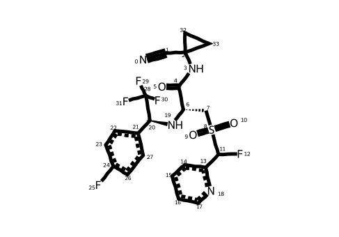 N#CC1(NC(=O)[C@H](CS(=O)(=O)C(F)c2ccccn2)N[C@@H](c2ccc(F)cc2)C(F)(F)F)CC1